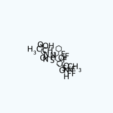 C[C@H](NS(=O)(=O)c1ccc(-c2sc(-c3noc(CC(C)(C)C(=O)O)n3)nc2CC2CCCCC2)c(OC(F)(F)F)c1)C(F)(F)F